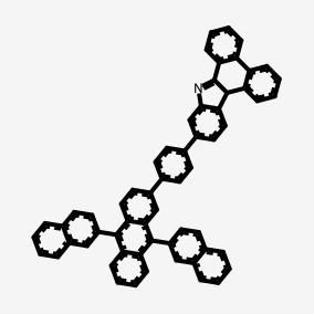 c1ccc2c(c1)C1=Nc3cc(-c4ccc(-c5ccc6c(-c7ccc8ccccc8c7)c7ccccc7c(-c7ccc8ccccc8c7)c6c5)cc4)ccc3C1c1ccccc1-2